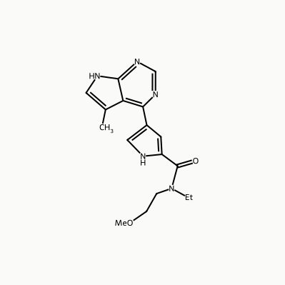 CCN(CCOC)C(=O)c1cc(-c2ncnc3[nH]cc(C)c23)c[nH]1